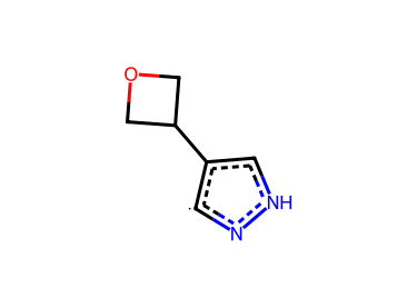 [c]1n[nH]cc1C1COC1